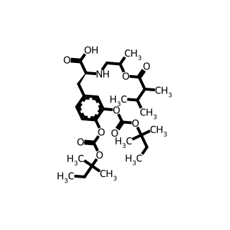 CCC(C)(C)OC(=O)Oc1ccc(C[C@H](NCC(C)OC(=O)C(C)C(C)C)C(=O)O)cc1OC(=O)OC(C)(C)CC